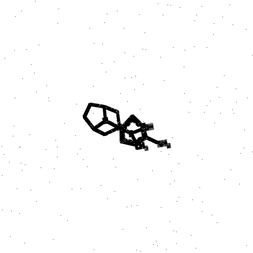 CB(O)N1CC2CCC(C1)N2c1ccc(N)nc1